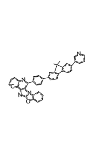 CC1(C)c2cc(-c3ccc(-c4nc5ccccc5c5nc6oc7ccccc7n6c45)cc3)ccc2-c2ccc(-c3cccnc3)cc21